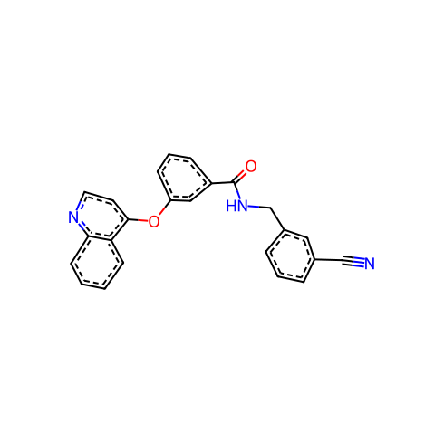 N#Cc1cccc(CNC(=O)c2cccc(Oc3ccnc4ccccc34)c2)c1